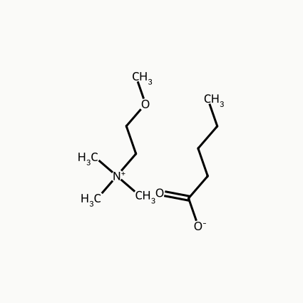 CCCCC(=O)[O-].COCC[N+](C)(C)C